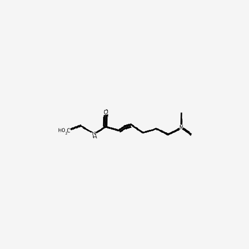 CN(C)CCCC=CC(=O)NCC(=O)O